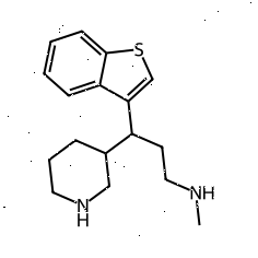 CNCCC(c1csc2ccccc12)C1CCCNC1